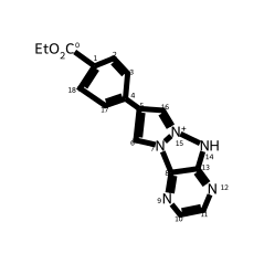 CCOC(=O)c1ccc(-c2cn3c4nccnc4[nH][n+]3c2)cc1